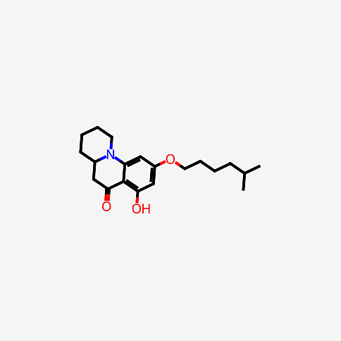 CC(C)CCCCOc1cc(O)c2c(c1)N1CCCCC1CC2=O